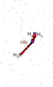 Br.CCCCCCCCCCCCCCCCCCCCCCN1C=CC(C=Cc2ccc(N(C)C)cc2)=CC1